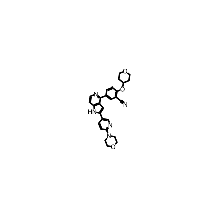 N#Cc1cc(-c2nccc3[nH]c(-c4ccc(N5CCOCC5)nc4)cc23)ccc1OC1CCOCC1